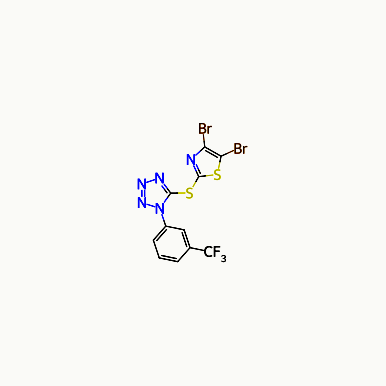 FC(F)(F)c1cccc(-n2nnnc2Sc2nc(Br)c(Br)s2)c1